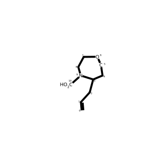 C=CCC1CCOCCN1C(=O)O